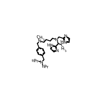 CCCN(CCC)Cc1ccc(CN(C)CCCCN(Cc2ncc[nH]2)C(C)c2ncc[nH]2)cc1